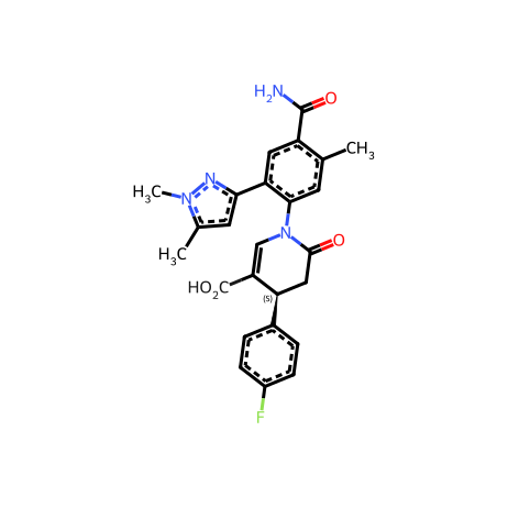 Cc1cc(N2C=C(C(=O)O)[C@H](c3ccc(F)cc3)CC2=O)c(-c2cc(C)n(C)n2)cc1C(N)=O